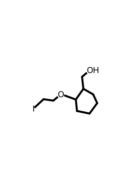 OCC1CCCCC1OCCI